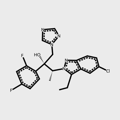 CCc1c2cc(Cl)ccc2nn1[C@H](C)[C@](O)(Cn1cncn1)c1ccc(F)cc1F